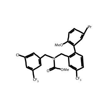 COC(=O)N(Cc1cc(Cl)cc(C(F)(F)F)c1)Cc1cc(C(F)(F)F)ccc1-c1cc(C(C)C)ccc1OC